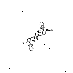 CCCCCCCCc1ccc(CNC(=O)C(=O)NCc2ccc(CCCCCCCC)c(-n3nc4ccccc4n3)c2O)c(O)c1-n1nc2ccccc2n1